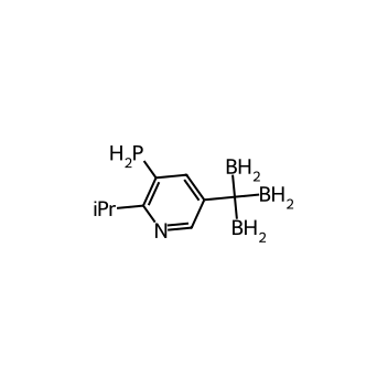 BC(B)(B)c1cnc(C(C)C)c(P)c1